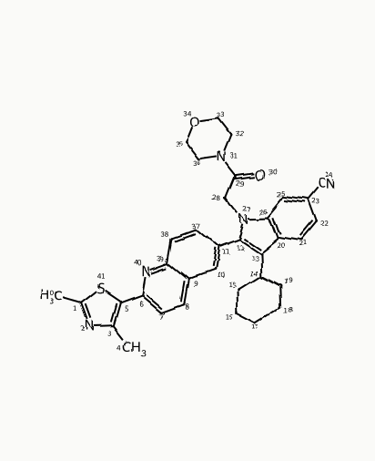 Cc1nc(C)c(-c2ccc3cc(-c4c(C5CCCCC5)c5ccc(C#N)cc5n4CC(=O)N4CCOCC4)ccc3n2)s1